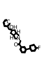 O=C(CN1C[C@@H]2C[C@](O)(Cc3ccccc3)C[C@@H]2C1)c1cccc(-c2ccc(F)cc2)c1